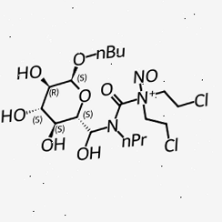 CCCCO[C@H]1O[C@H](C(O)N(CCC)C(=O)[N+](CCCl)(CCCl)N=O)[C@@H](O)[C@H](O)[C@H]1O